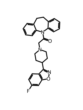 O=C(CN1CCC(c2noc3cc(F)ccc23)CC1)N1c2ccccc2CCc2ccccc21